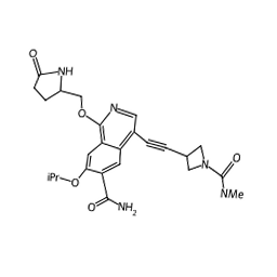 CNC(=O)N1CC(C#Cc2cnc(OCC3CCC(=O)N3)c3cc(OC(C)C)c(C(N)=O)cc23)C1